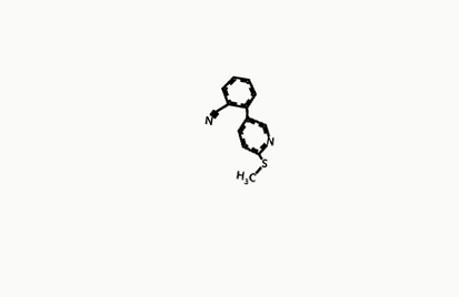 CSc1ccc(-c2ccccc2C#N)cn1